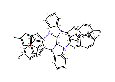 Cc1ccc2cc(N3c4ccccc4N(c4ccc5cc(C)ccc5c4)C3C3N(c4ccc5cc(C)ccc5c4)c4ccccc4N3c3ccc4cc(C)ccc4c3)ccc2c1